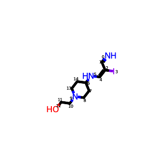 N=C/C(I)=C\NC1CCN(CCO)CC1